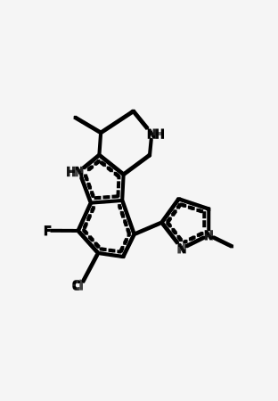 CC1CNCc2c1[nH]c1c(F)c(Cl)cc(-c3ccn(C)n3)c21